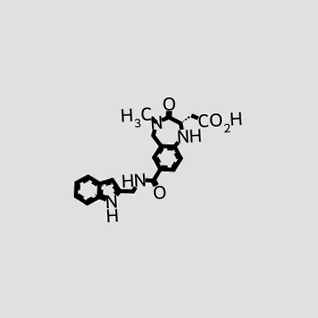 CN1Cc2cc(C(=O)NCc3cc4ccccc4[nH]3)ccc2N[C@@H](CC(=O)O)C1=O